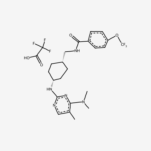 Cc1cnc(N[C@H]2CC[C@@H](CNC(=O)c3ccc(OC(F)(F)F)cc3)CC2)nc1N(C)C.O=C(O)C(F)(F)F